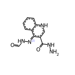 NNC(=O)c1c[nH]c2ccccc2/c1=N\NC=O